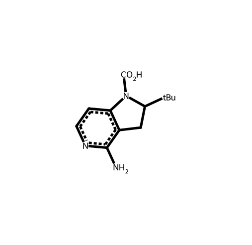 CC(C)(C)C1Cc2c(ccnc2N)N1C(=O)O